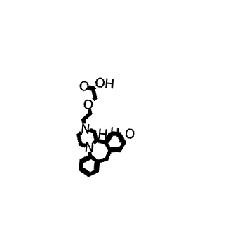 O.O=C(O)COCCN1CCN2c3ccccc3Cc3ccccc3[C@@H]2C1